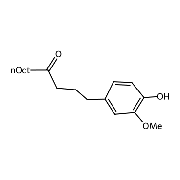 CCCCCCCCC(=O)CCCc1ccc(O)c(OC)c1